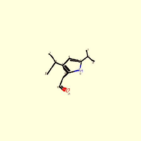 CC(C)c1cc(C(C)C)c(C=O)[nH]1